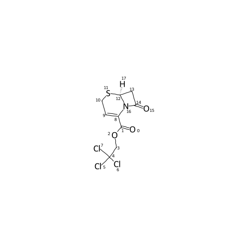 O=C(OCC(Cl)(Cl)Cl)C1=CCS[C@H]2CC(=O)N12